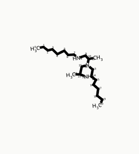 CCCCCCCCNCC(C)N(CCCCCCCC)CC(C)N